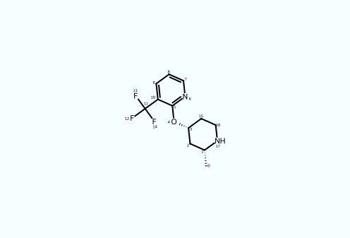 C[C@@H]1C[C@H](Oc2ncccc2C(F)(F)F)CCN1